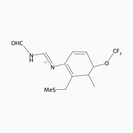 CSCC1=C(/N=C/NC=O)C=CC(OC(F)(F)F)C1C